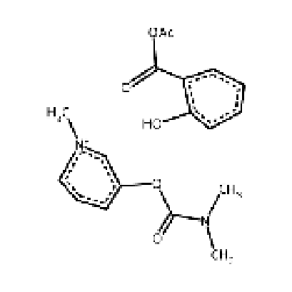 CC(=O)OC(=O)c1ccccc1O.CN(C)C(=O)Oc1ccc[n+](C)c1